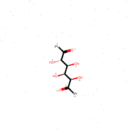 CC(C)C(=O)[C@@H](O)[C@@H](O)[C@H](O)[C@@H](O)C(=O)C(C)C